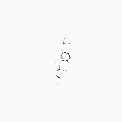 CN1C(=O)[C@@H](NC(=O)OC(C)(C)C)COc2ccc(O[C@@H]3CCOC3)cc21